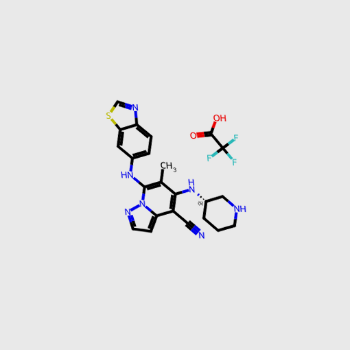 Cc1c(N[C@H]2CCCNC2)c(C#N)c2ccnn2c1Nc1ccc2ncsc2c1.O=C(O)C(F)(F)F